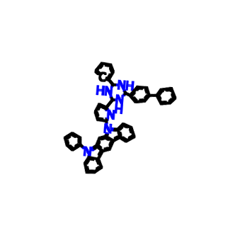 c1ccc(-c2ccc(C3NC(c4ccccc4)NC(c4cccc(-n5c6ccccc6c6cc7c8ccccc8n(-c8ccccc8)c7cc65)n4)N3)cc2)cc1